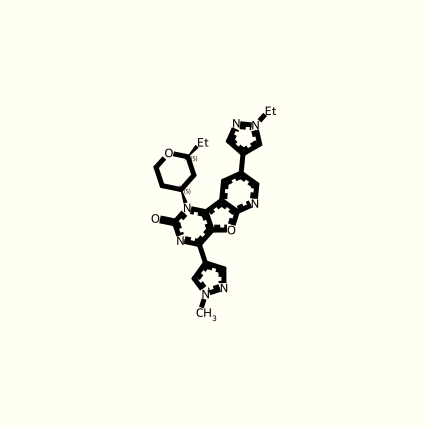 CC[C@H]1C[C@@H](n2c(=O)nc(-c3cnn(C)c3)c3oc4ncc(-c5cnn(CC)c5)cc4c32)CCO1